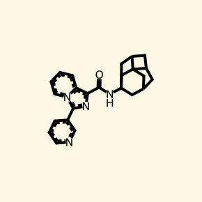 O=C(NC12CC3CC4CC(C1)C4(C3)C2)c1nc(-c2cccnc2)n2ccccc12